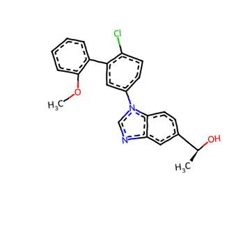 COc1ccccc1-c1cc(-n2cnc3cc([C@H](C)O)ccc32)ccc1Cl